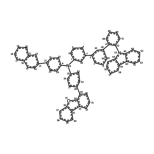 c1cc(-c2cccc(N(c3ccc(-c4ccc5ccccc5c4)cc3)c3ccc(-c4cccc5c4oc4ccccc45)cc3)c2)cc(-c2ccccc2-n2c3ccccc3c3ccccc32)c1